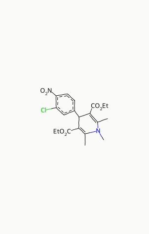 CCOC(=O)C1=C(C)N(C)C(C)=C(C(=O)OCC)C1c1ccc([N+](=O)[O-])c(Cl)c1